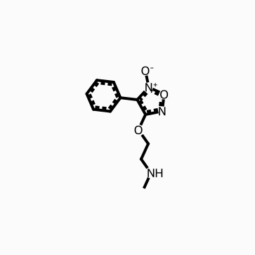 CNCCOc1no[n+]([O-])c1-c1ccccc1